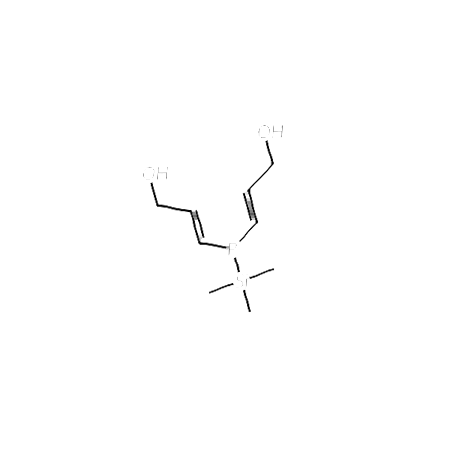 C[Si](C)(C)P(C=CCO)C=CCO